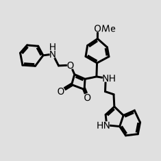 COc1ccc(C(NCCc2c[nH]c3ccccc23)c2c(OCNc3ccccc3)c(=O)c2=O)cc1